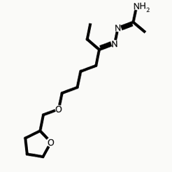 CC/C(CCCCOCC1CCCO1)=N\N=C(/C)N